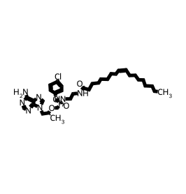 CCCCCCCC/C=C\CCCCCCCC(=O)NCCNP(=O)(CO[C@H](C)Cn1cnc2c(N)ncnc21)Oc1ccc(Cl)cc1